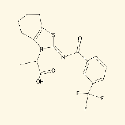 CC(C(=O)O)n1c2c(sc1=NC(=O)c1cccc(C(F)(F)F)c1)CCCC2